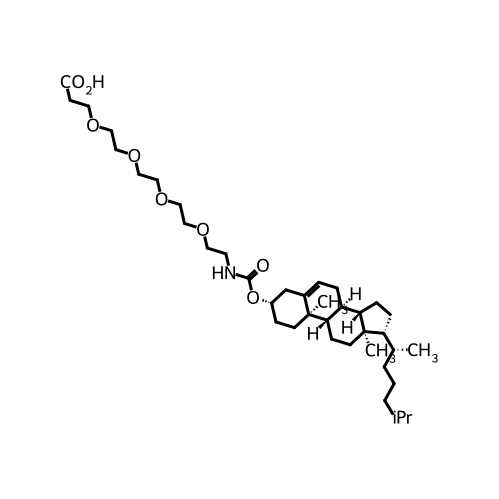 CC(C)CCC[C@@H](C)[C@H]1CC[C@H]2[C@@H]3CC=C4C[C@@H](OC(=O)NCCOCCOCCOCCOCCC(=O)O)CC[C@]4(C)[C@H]3CC[C@]12C